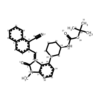 CN1C(=O)[N+](=Cc2ccc3ccccc3c2C#N)c2c(N3CCC[C@@H](NC(=O)OC(C)(C)C)C3)ccnc21